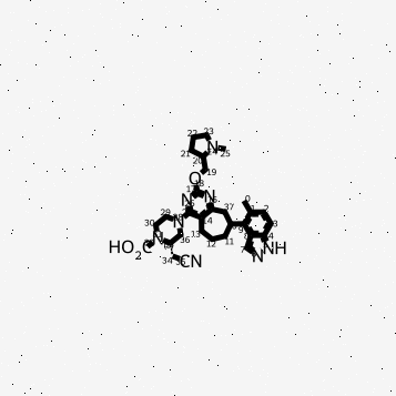 Cc1ccc2[nH]ncc2c1C1CCCc2c(nc(OCC3CCCN3C)nc2N2CCN(C(=O)O)[C@@H](CC#N)C2)C1